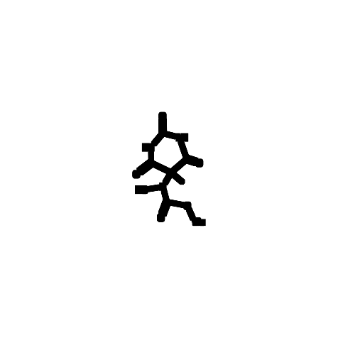 CC(C)(C)OC(=O)N(O)C1(C)C(=O)NC(=O)NC1=O